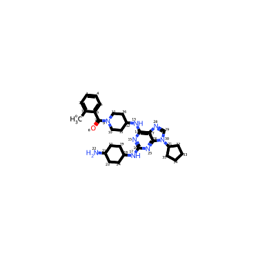 Cc1ccccc1C(=O)N1CCC(Nc2nc(NC3CCC(N)CC3)nc3c2ncn3C2CCCC2)CC1